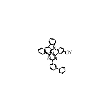 N#Cc1ccc(-n2c3ccccc3c3ccccc32)c(-c2nc(-c3ccccc3)nc(-c3cccc(-c4ccccc4)c3)n2)c1